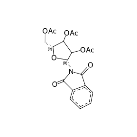 CC(=O)OC[C@H]1O[C@@H](N2C(=O)c3ccccc3C2=O)C(OC(C)=O)C1OC(C)=O